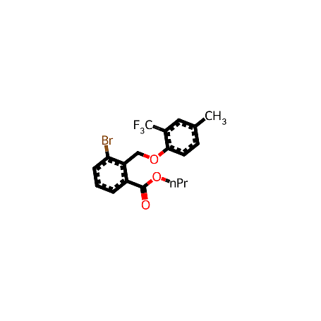 CCCOC(=O)c1cccc(Br)c1COc1ccc(C)cc1C(F)(F)F